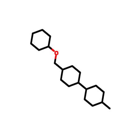 CC1CCC(C2CCC(COC3CCCCC3)CC2)CC1